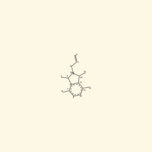 C=CCN1C(C)c2c(C)ccc(C)c2C1C